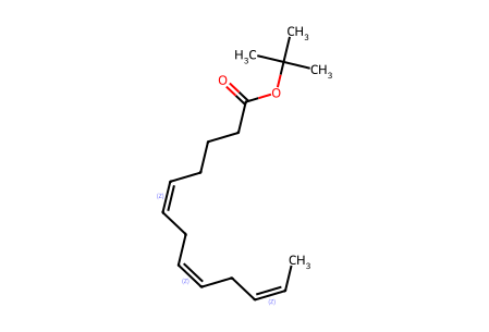 C/C=C\C/C=C\C/C=C\CCCC(=O)OC(C)(C)C